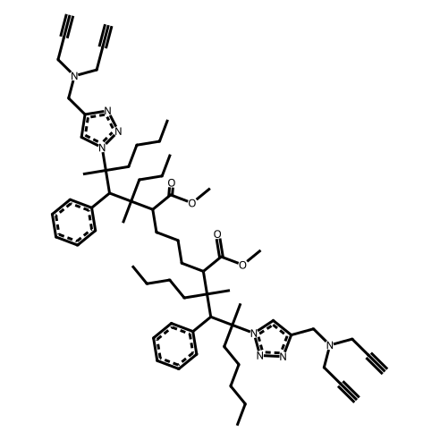 C#CCN(CC#C)Cc1cn(C(C)(CCCC)C(c2ccccc2)C(C)(CCC)C(CCCC(C(=O)OC)C(C)(CCCC)C(c2ccccc2)C(C)(CCCCC)n2cc(CN(CC#C)CC#C)nn2)C(=O)OC)nn1